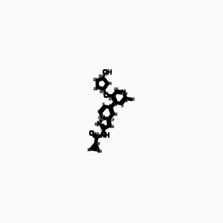 Cc1cc(-c2ccn3nc(NC(=O)C4CC4)cc3c2)c(O[C@@H]2CC[C@H](O)C2)cn1